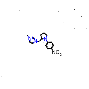 C[n+]1ccn(CC2CCCN2c2ccc([N+](=O)[O-])cc2)c1